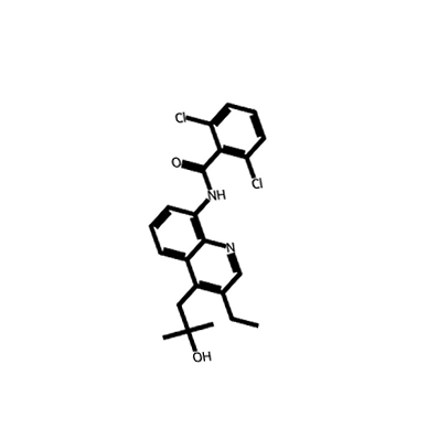 CCc1cnc2c(NC(=O)c3c(Cl)cccc3Cl)cccc2c1CC(C)(C)O